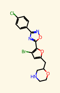 Clc1ccc(-c2noc(-c3oc(CC4CNCCO4)cc3Br)n2)cc1